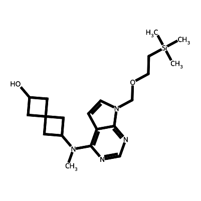 CN(c1ncnc2c1ccn2COCC[Si](C)(C)C)C1CC2(CC(O)C2)C1